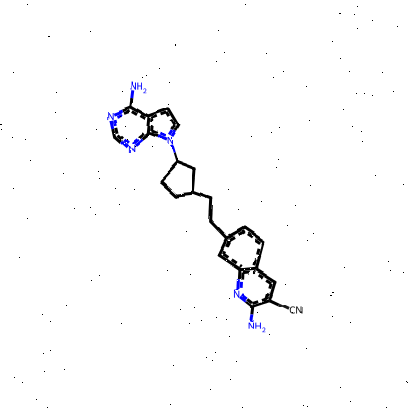 N#Cc1cc2ccc(CCC3CCC(n4ccc5c(N)ncnc54)C3)cc2nc1N